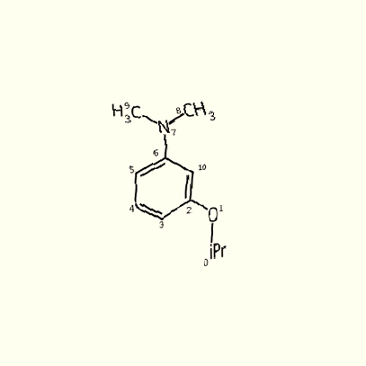 CC(C)Oc1cccc(N(C)C)c1